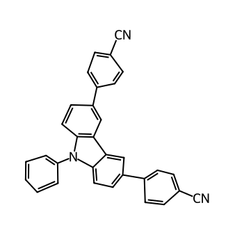 N#Cc1ccc(-c2ccc3c(c2)c2cc(-c4ccc(C#N)cc4)ccc2n3-c2ccccc2)cc1